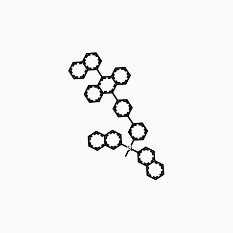 C[Si](c1cccc(-c2ccc(-c3c4ccccc4c(-c4cccc5ccccc45)c4ccccc34)cc2)c1)(c1ccc2ccccc2c1)c1ccc2ccccc2c1